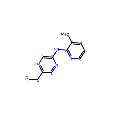 COc1cccnc1Nc1cnc(CC(C)C)cn1